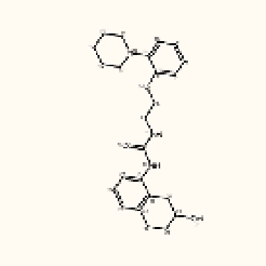 O=C(NCCOc1ccccc1N1CCCCC1)Nc1cccc2c1CC(O)CC2